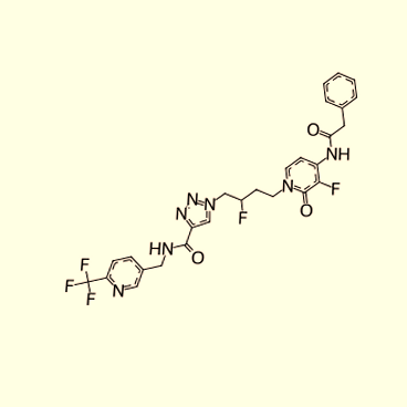 O=C(Cc1ccccc1)Nc1ccn(CCC(F)Cn2cc(C(=O)NCc3ccc(C(F)(F)F)nc3)nn2)c(=O)c1F